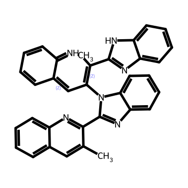 C/C(=C(\C=C1\C=CC=CC1=N)n1c(-c2nc3ccccc3cc2C)nc2ccccc21)c1nc2ccccc2[nH]1